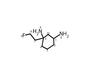 NC1CCCC(N)(CCF)C1